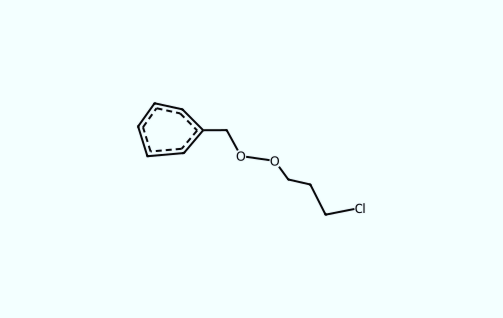 ClCCCOOCc1ccccc1